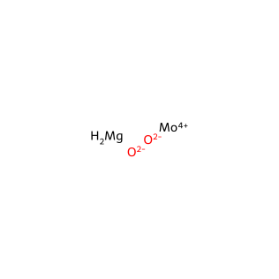 [MgH2].[Mo+4].[O-2].[O-2]